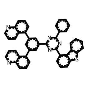 c1ccc(-c2nc(-c3cc(-c4cccc5ncccc45)cc(-c4cccc5ncccc45)c3)nc(-c3cccc4sc5ccccc5c34)n2)cc1